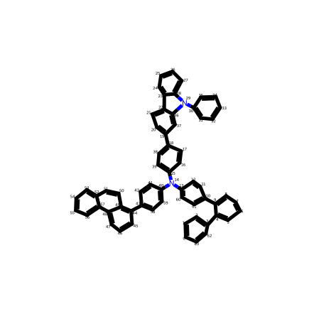 c1ccc(-c2ccccc2-c2ccc(N(c3ccc(-c4ccc5c6ccccc6n(-c6ccccc6)c5c4)cc3)c3ccc(-c4cccc5c4ccc4ccccc45)cc3)cc2)cc1